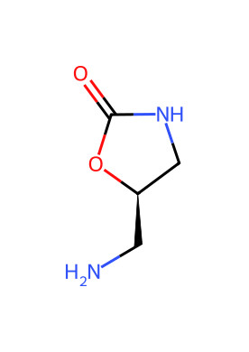 NC[C@@H]1CNC(=O)O1